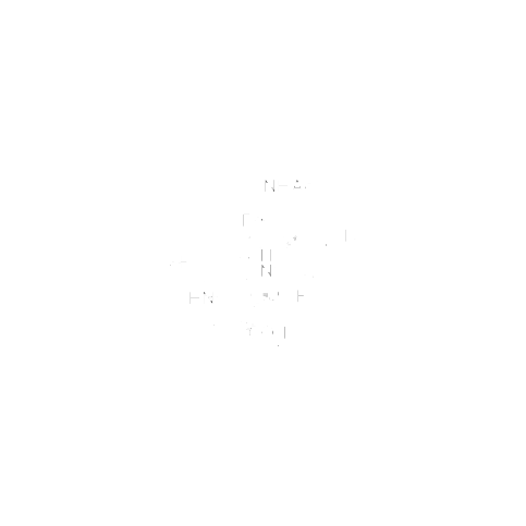 CC(=O)Nc1cccc(C2(Nc3ccc(I)cc3F)C(F)=CC(F)=C3NC=C(C(=O)O)C(=O)C32)c1